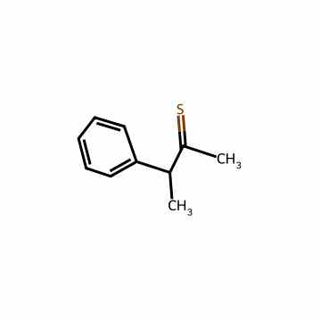 CC(=S)C(C)c1ccccc1